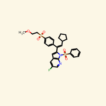 COCCS(=O)(=O)c1ccc(C(=CC2CCCC2)c2cc3cc(F)cnc3n2S(=O)(=O)c2ccccc2)cc1